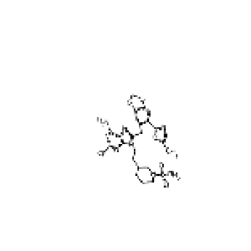 Cc1cnc(-c2cc3c(cc2Cc2nc4c(N)nc(Cl)nc4n2CCC2CCCN(S(N)(=O)=O)C2)OCO3)o1